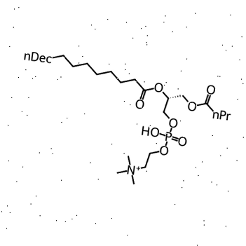 CCCCCCCCCCCCCCCCCC(=O)O[C@H](COC(=O)CCC)COP(=O)(O)OCC[N+](C)(C)C